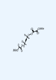 CCC(C)(C#CC(C)(CC)OOC(=O)C(=O)OC)OOC(=O)C(=O)OC